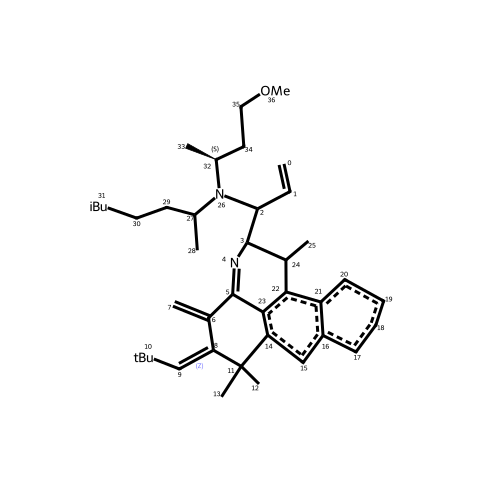 C=CC(C1N=C2C(=C)/C(=C\C(C)(C)C)C(C)(C)c3cc4ccccc4c(c32)C1C)N(C(C)CCC(C)CC)[C@@H](C)CCOC